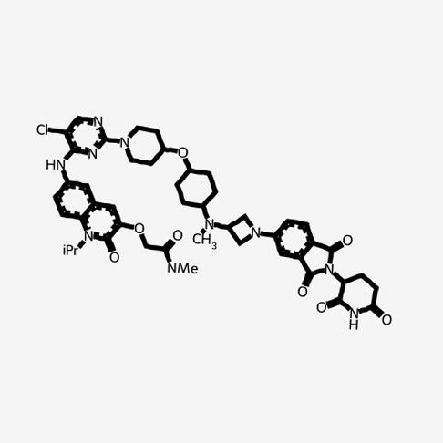 CNC(=O)COc1cc2cc(Nc3nc(N4CCC(OC5CCC(N(C)C6CN(c7ccc8c(c7)C(=O)N(C7CCC(=O)NC7=O)C8=O)C6)CC5)CC4)ncc3Cl)ccc2n(C(C)C)c1=O